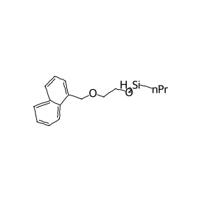 CCC[SiH2]OCCOCc1cccc2ccccc12